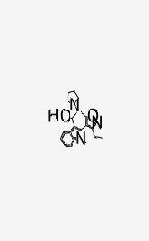 CCc1noc(C)c1-c1c(C(O)CN2CCCC2)c2ccccc2n1C